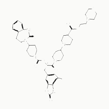 Cc1cc(C[C@@H](OC(=O)N2CCC(N3CCc4ccccc4NC3=O)CC2)C(=O)N2CCC(N3CCC(C(=O)OCCN4CCOCC4)CC3)CC2)cc2oc(=O)[nH]c12